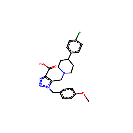 COc1ccc(Cn2nnc(C(=O)O)c2CN2CCC(c3ccc(Cl)cc3)CC2)cc1